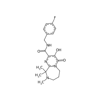 CN1CCCn2c(nc(C(=O)NCc3ccc(F)cc3)c(O)c2=O)C1(C)C